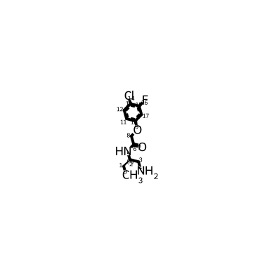 CC[C@H](CN)NC(=O)COc1ccc(Cl)c(F)c1